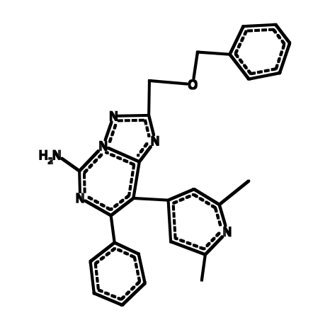 Cc1cc(-c2c(-c3ccccc3)nc(N)n3nc(COCc4ccccc4)nc23)cc(C)n1